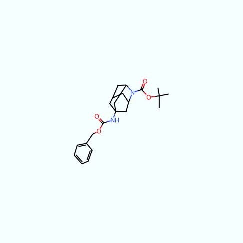 CC(C)(C)OC(=O)N1C2CC3CC1CC(NC(=O)OCc1ccccc1)(C3)C2